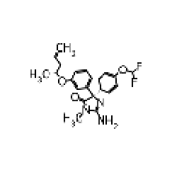 C=CC[C@@H](C)Oc1cccc([C@@]2(C3C=CC(OC(F)F)=CC3)N=C(N)N(C)C2=O)c1